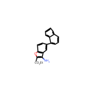 CCOC(=O)c1oc2ccc(-c3cccc4ccccc34)cc2c1N